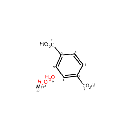 O.O.O=C(O)c1ccc(C(=O)O)cc1.[Mn]